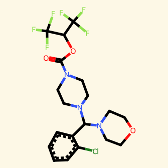 O=C(OC(C(F)(F)F)C(F)(F)F)N1CCN(C(c2ccccc2Cl)N2CCOCC2)CC1